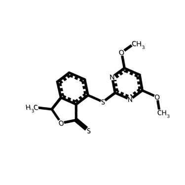 COc1cc(OC)nc(Sc2cccc3c2C(=S)OC3C)n1